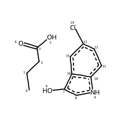 CCCC(=O)O.Oc1c[nH]c2ccc(Cl)cc12